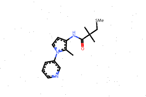 CSCC(C)(C)C(=O)Nc1ccn(-c2cccnc2)c1C